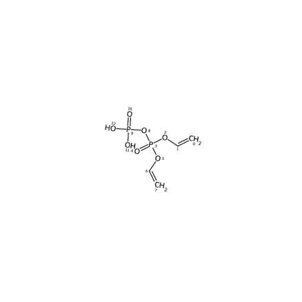 C=COP(=O)(OC=C)OP(=O)(O)O